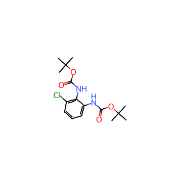 CC(C)(C)OC(=O)Nc1cccc(Cl)c1NC(=O)OC(C)(C)C